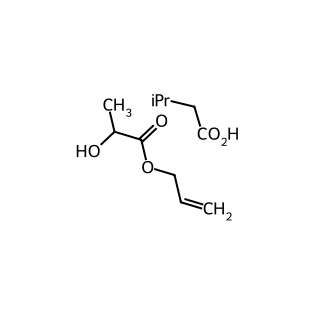 C=CCOC(=O)C(C)O.CC(C)CC(=O)O